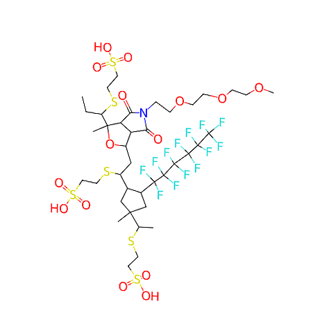 CCC(SCCS(=O)(=O)O)C1(C)OC(CC(SCCS(=O)(=O)O)C2CC(C)(C(C)SCCS(=O)(=O)O)CC2C(F)(F)C(F)(F)C(F)(F)C(F)(F)C(F)(F)C(F)(F)F)C2C(=O)N(CCOCCOCCOC)C(=O)C21